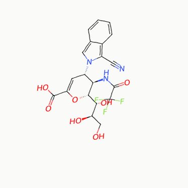 N#Cc1c2ccccc2cn1[C@H]1C=C(C(=O)O)O[C@@H]([C@H](O)[C@H](O)CO)[C@@H]1NC(=O)C(F)(F)F